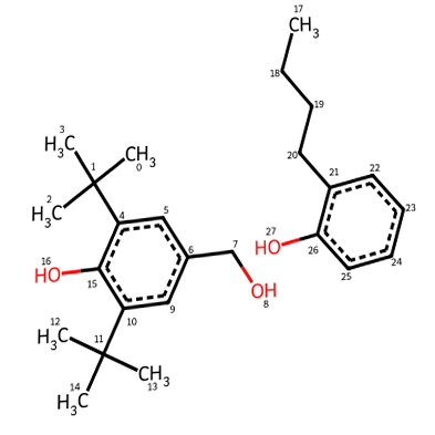 CC(C)(C)c1cc(CO)cc(C(C)(C)C)c1O.CCCCc1ccccc1O